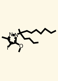 CCCCCCCC(C)(CCCC)n1nc(C)c(I)c1OC